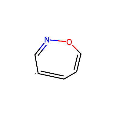 [C]1=CC=CON=C1